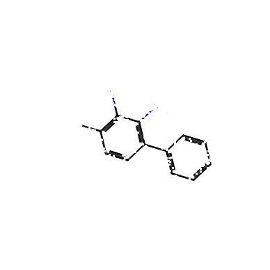 Nc1c(-c2ccccc2)ccc(S(=O)(=O)O)c1N